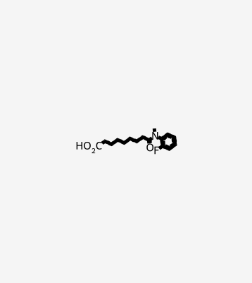 CN(C(=O)CCCCCCCC(=O)O)c1ccccc1F